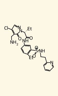 CCc1ccc(NC(=O)[C@@H](CC)n2ncc(Cl)c(CN)c2=O)cc1S(=O)(=O)NCCc1ccccn1